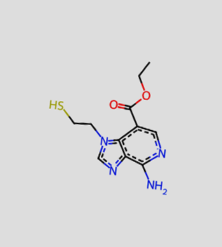 CCOC(=O)c1cnc(N)c2ncn(CCS)c12